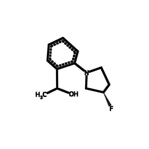 CC(O)c1ccccc1N1CC[C@H](F)C1